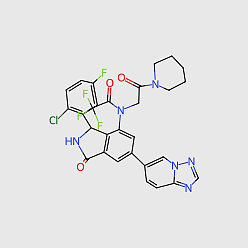 O=C1NC(c2cc(F)ccc2Cl)c2c1cc(-c1ccc3ncnn3c1)cc2N(CC(=O)N1CCCCC1)C(=O)C(F)(F)F